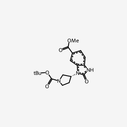 COC(=O)c1ccc2[nH]c(=O)n([C@@H]3CCN(C(=O)OC(C)(C)C)C3)c2c1